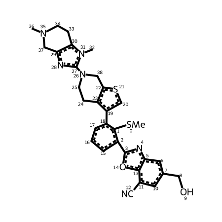 CSc1c(-c2nc3cc(CO)cc(C#N)c3o2)cccc1-c1csc2c1CCN(c1nc3c(n1C)CCN(C)C3)C2